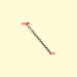 O=C(O)CCCCCCCCCCCCCCCCCCCCCCCCCCCCCO